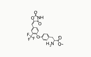 COC(=O)C(N)Cc1ccc(Oc2ccc(C=C3OC(=O)NC3=O)cc2C(F)(F)F)cc1